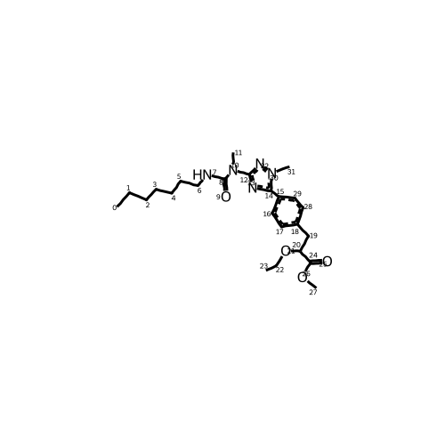 CCCCCCCNC(=O)N(C)c1nc(-c2ccc(CC(OCC)C(=O)OC)cc2)n(C)n1